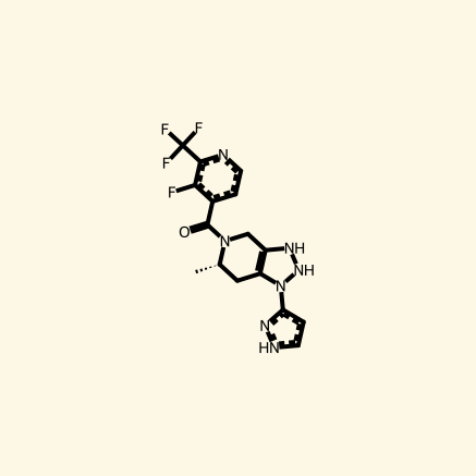 C[C@H]1CC2=C(CN1C(=O)c1ccnc(C(F)(F)F)c1F)NNN2c1cc[nH]n1